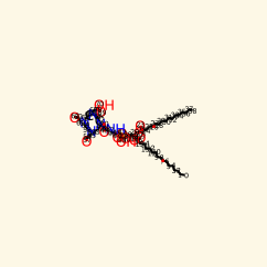 CCCCCCCCCCCCCCCCC(=O)O[C@@H](COC(=O)CCCCCCCCCCCCCCC)COP(=O)(O)OCCNC(=O)CN1CCN(CC=O)CCN(CC=O)CCN(CC(=O)O)CC1